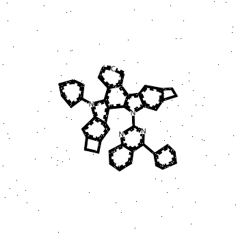 c1ccc(-c2nc(-n3c4cc5c(cc4c4c6ccccc6c6c(c7cc8c(cc7n6-c6ccccc6)CC8)c43)CC5)nc3ccccc23)cc1